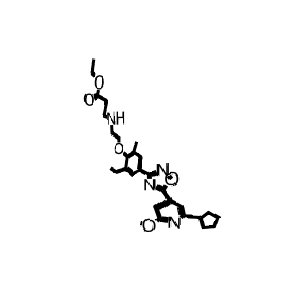 CCOC(=O)CCNCCOc1c(C)cc(-c2noc(-c3cc(OC)nc(C4CCCC4)c3)n2)cc1CC